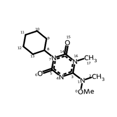 CON(C)c1nc(=O)n(C2CCCCC2)c(=O)n1C